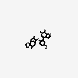 CSc1ccc(OC2C(C)CC3CC2CC(C)C32OCCO2)c(-c2cn(C)c(=O)c3[nH]ccc23)c1